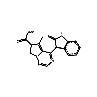 COC(=O)C1CN2N=CN=C(C3C(=O)Nc4ccccc43)C2=C1C